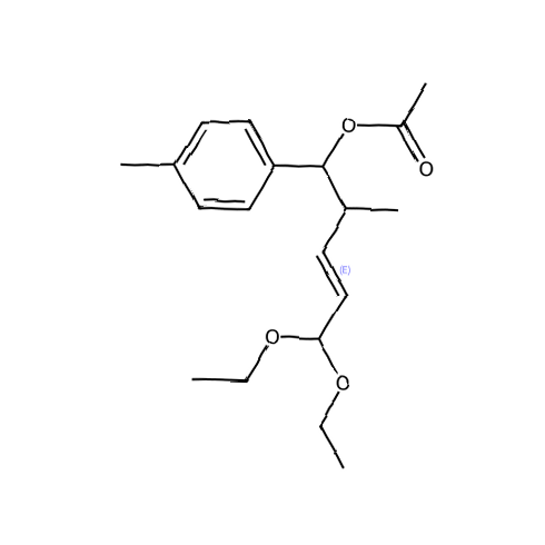 CCOC(/C=C/C(C)C(OC(C)=O)c1ccc(C)cc1)OCC